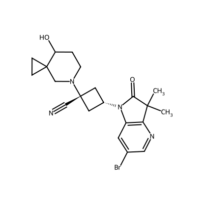 CC1(C)C(=O)N([C@H]2C[C@@](C#N)(N3CCC(O)C4(CC4)C3)C2)c2cc(Br)cnc21